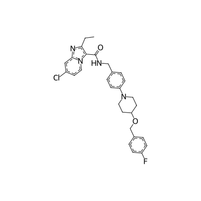 CCc1nc2cc(Cl)ccn2c1C(=O)NCc1ccc(N2CCC(OCc3ccc(F)cc3)CC2)cc1